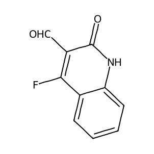 O=Cc1c(F)c2ccccc2[nH]c1=O